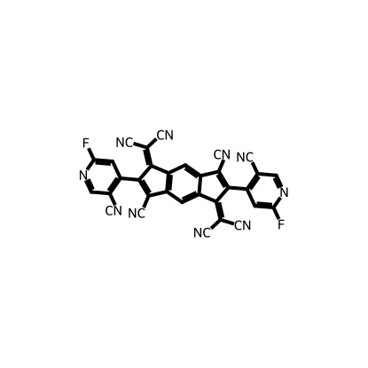 N#CC(C#N)=C1C(c2cc(F)ncc2C#N)=C(C#N)c2cc3c(cc21)C(C#N)=C(c1cc(F)ncc1C#N)C3=C(C#N)C#N